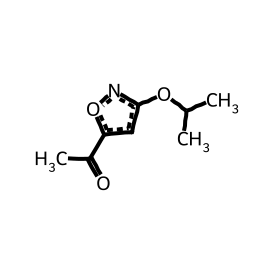 CC(=O)c1cc(OC(C)C)no1